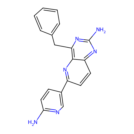 Nc1ccc(-c2ccc3nc(N)nc(Cc4ccccc4)c3n2)cn1